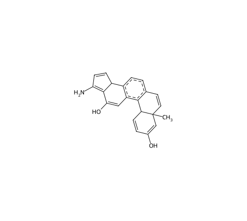 CC12C=Cc3ccc4c(c3C1C=CC(O)=C2)C=C(O)C1=C(N)C=CC14